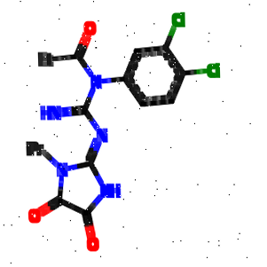 CCC(=O)N(C(=N)N=C1NC(=O)C(=O)N1C(C)C)c1ccc(Cl)c(Cl)c1